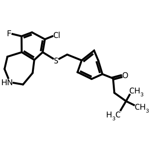 CC(C)(C)CC(=O)c1ccc(CSc2c(Cl)cc(F)c3c2CCNCC3)cc1